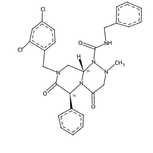 CN1CC(=O)N2[C@@H](c3ccccc3)C(=O)N(Cc3ccc(Cl)cc3Cl)C[C@@H]2N1C(=O)NCc1ccccc1